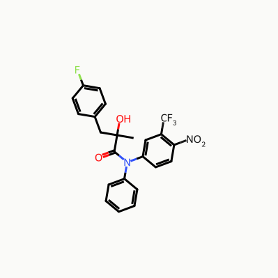 CC(O)(Cc1ccc(F)cc1)C(=O)N(c1ccccc1)c1ccc([N+](=O)[O-])c(C(F)(F)F)c1